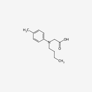 CCCCN(CC(=O)O)c1ccc(C)cc1